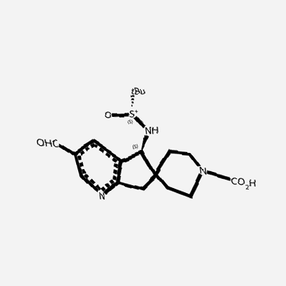 CC(C)(C)[S@@+]([O-])N[C@@H]1c2cc(C=O)cnc2CC12CCN(C(=O)O)CC2